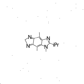 Cc1c2c(c(C)c3c1nc(C(C)C)n3C)=NCN=2